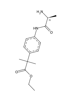 CCOC(=O)C(C)(C)c1ccc(NC(=O)[C@H](C)N)cc1